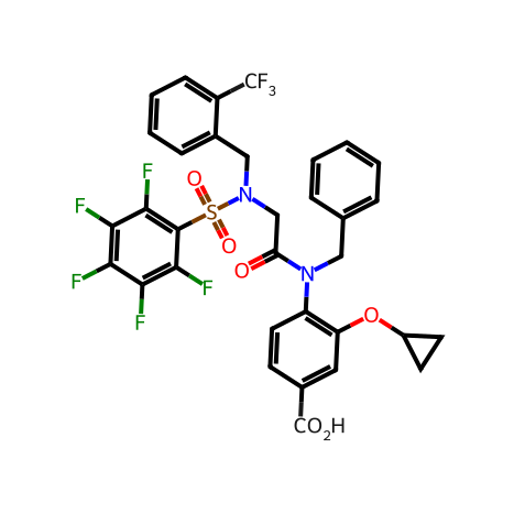 O=C(O)c1ccc(N(Cc2ccccc2)C(=O)CN(Cc2ccccc2C(F)(F)F)S(=O)(=O)c2c(F)c(F)c(F)c(F)c2F)c(OC2CC2)c1